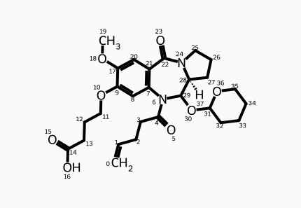 C=CCCC(=O)N1c2cc(OCCCC(=O)O)c(OC)cc2C(=O)N2CCC[C@H]2C1OC1CCCCO1